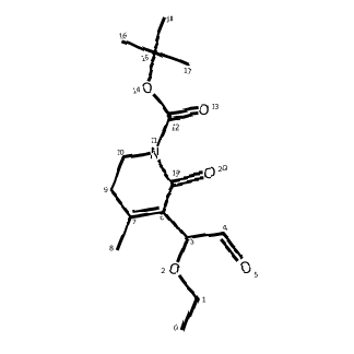 CCOC(C=O)C1=C(C)CCN(C(=O)OC(C)(C)C)C1=O